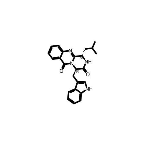 CC(C)C[C@@H]1NC(=O)[C@@H](Cc2c[nH]c3ccccc23)n2c1nc1ccccc1c2=O